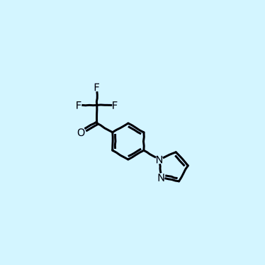 O=C(c1ccc(-n2cccn2)cc1)C(F)(F)F